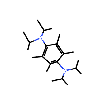 Cc1c(C)c(N(C(C)C)C(C)C)c(C)c(C)c1N(C(C)C)C(C)C